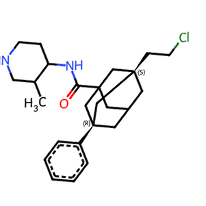 CC1CNCCC1NC(=O)C12CC3C[C@@](CCCl)(C1)C[C@](c1ccccc1)(C3)C2